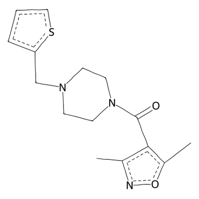 Cc1noc(C)c1C(=O)N1CCN(Cc2cccs2)CC1